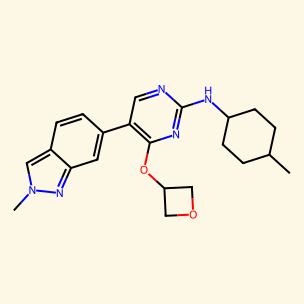 CC1CCC(Nc2ncc(-c3ccc4cn(C)nc4c3)c(OC3COC3)n2)CC1